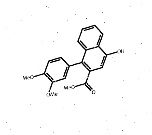 COC(=O)c1cc(O)c2ccccc2c1-c1ccc(OC)c(OC)c1